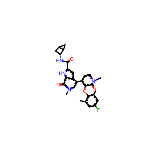 Cc1cc(F)cc(C)c1Oc1c(-c2cn(C)c(=O)c3[nH]c(C(=O)N[C@@H]4CC5CC54)cc23)ccn(C)c1=O